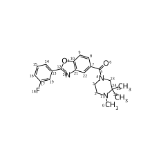 CN1CCN(C(=O)c2ccc3oc(-c4cccc(F)c4)nc3c2)CC1(C)C